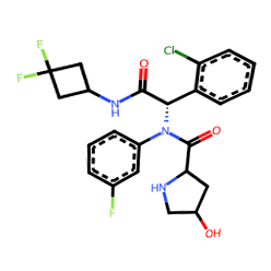 O=C(NC1CC(F)(F)C1)[C@H](c1ccccc1Cl)N(C(=O)C1CC(O)CN1)c1cccc(F)c1